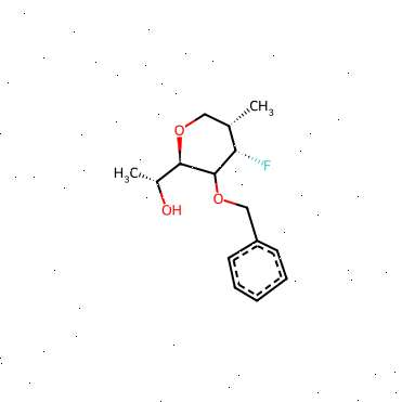 C[C@@H](O)[C@H]1OC[C@H](C)[C@H](F)C1OCc1ccccc1